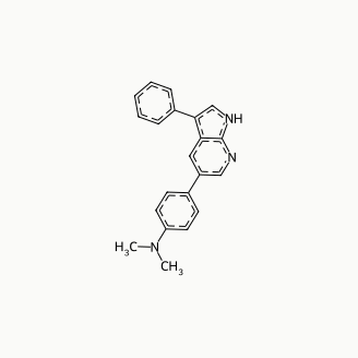 CN(C)c1ccc(-c2cnc3[nH]cc(-c4ccccc4)c3c2)cc1